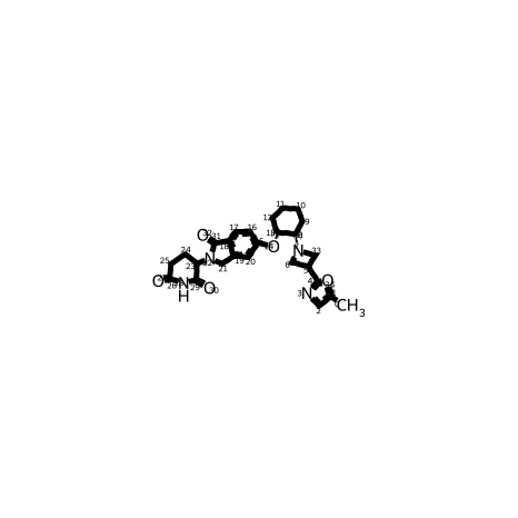 Cc1cnc(C2CN([C@H]3CCCC[C@H]3Oc3ccc4c(c3)CN(C3CCC(=O)NC3=O)C4=O)C2)o1